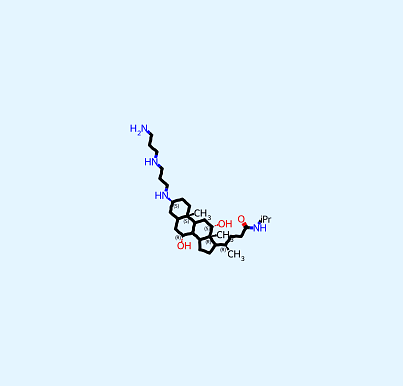 CC(C)NC(=O)CC[C@@H](C)C1CCC2C3C(C[C@H](O)[C@@]21C)[C@@]1(C)CC[C@H](NCCCNCCCN)CC1C[C@H]3O